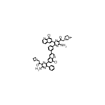 CN1CCN(CC(=O)c2nc(-c3cc(Cl)c4ncccc4c3)c(-c3cccc(-c4cnc5c(Cl)cc(-c6nc(C(=O)CN7CCC7)c(N)nc6-c6ccccc6)cc5c4)c3)nc2N)C1